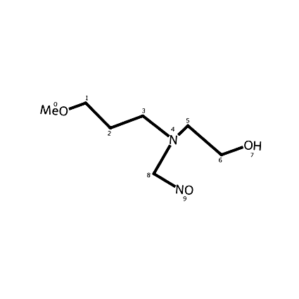 COCCCN(CCO)CN=O